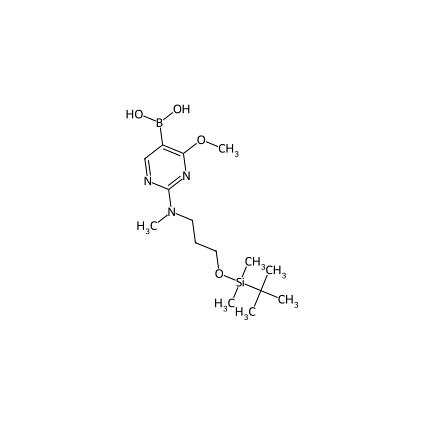 COc1nc(N(C)CCCO[Si](C)(C)C(C)(C)C)ncc1B(O)O